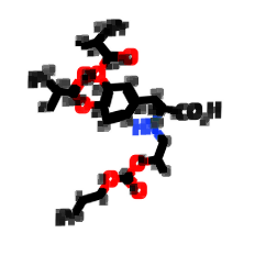 CC(C)CCOC(=O)OC(C)CN[C@@H](Cc1ccc(OC(=O)C(C)C(C)C)c(OC(=O)C(C)C(C)C)c1)C(=O)O